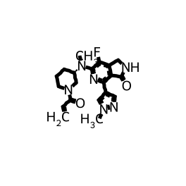 C=CC(=O)N1CCC[C@H](N(C)c2nc(-c3cnn(C)c3)c3c(c2F)CNC3=O)C1